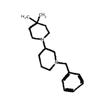 CC1(C)CCN(C2CCCN(Cc3ccccc3)C2)CC1